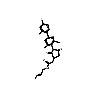 C/C=C/CNC(=O)CC1CC(=O)C(c2c(C)cc(-c3ncc(F)cc3F)cc2C)C1=O